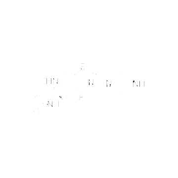 O=C1CCC(Nc2cc(F)c(N3CCN(C4CCNCC4)CC3)c(F)c2)C(=O)N1